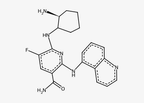 NC(=O)c1cc(F)c(NC2CCCC[C@@H]2N)nc1Nc1cccc2ncccc12